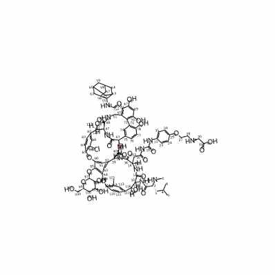 CN[C@H](CC(C)C)C(=O)N[C@H]1C(=O)N[C@@H](CC(=O)NC(=O)Nc2ccc(OCCNCC(=O)O)cc2)C(=O)N[C@H]2C(=O)N[C@H]3C(=O)N[C@H](C(=O)N[C@H](C(=O)NC4C5CC6CC(C5)CC4C6)c4cc(O)cc(O)c4-c4cc3ccc4O)[C@H](O)c3ccc(c(Cl)c3)Oc3cc2cc(c3O[C@@H]2O[C@H](CO)[C@@H](O)[C@H](O)[C@H]2O)Oc2ccc(cc2C)[C@H]1O